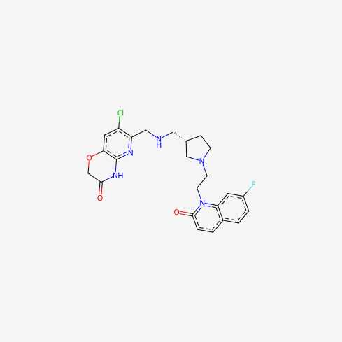 O=C1COc2cc(Cl)c(CNC[C@@H]3CCN(CCn4c(=O)ccc5ccc(F)cc54)C3)nc2N1